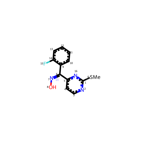 CSc1nccc(/C(=N\O)c2ccccc2F)n1